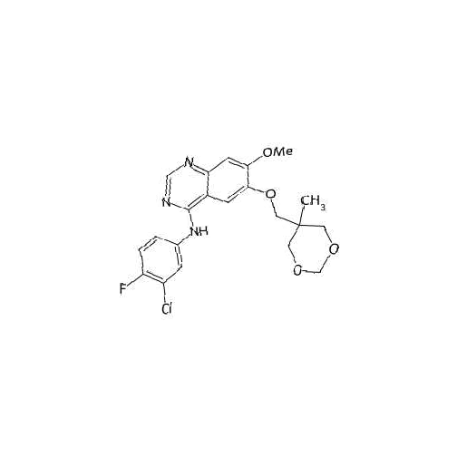 COc1cc2ncnc(Nc3ccc(F)c(Cl)c3)c2cc1OCC1(C)COCOC1